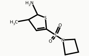 CC1C=C(S(=O)(=O)N2CCC2)SC1N